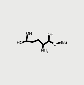 CC(C)(C)OC(O)C(N)CCC(O)O